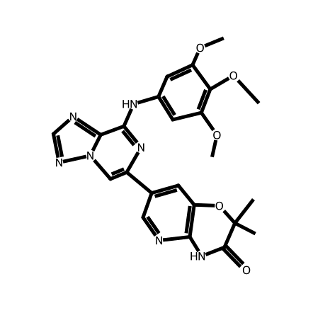 COc1cc(Nc2nc(-c3cnc4c(c3)OC(C)(C)C(=O)N4)cn3ncnc23)cc(OC)c1OC